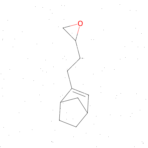 [CH](CC1=CC2CCC1C2)C1CO1